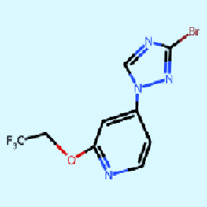 FC(F)(F)COc1cc(-n2cnc(Br)n2)ccn1